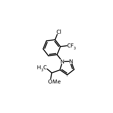 COC(C)c1[c]cnn1-c1cccc(Cl)c1C(F)(F)F